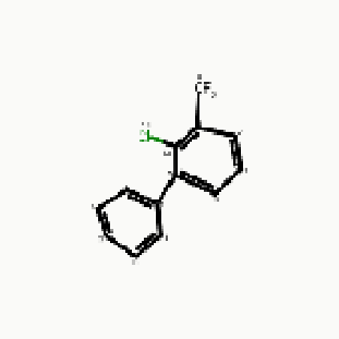 FC(F)(F)c1cccc(-c2ccccc2)c1Cl